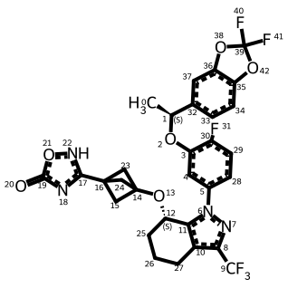 C[C@H](Oc1cc(-n2nc(C(F)(F)F)c3c2[C@@H](OC24CC(c5nc(=O)o[nH]5)(C2)C4)CCC3)ccc1F)c1ccc2c(c1)OC(F)(F)O2